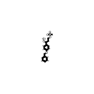 CCOC(CCOS(C)(=O)=O)c1ccc(OCc2ccccc2)cc1